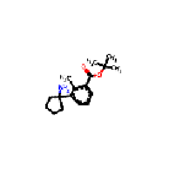 Cc1c(C(=O)OC(C)(C)C)cccc1C1(N)CCCC1